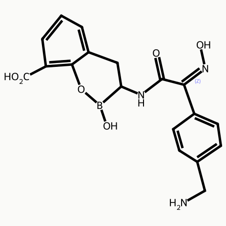 NCc1ccc(/C(=N/O)C(=O)NC2Cc3cccc(C(=O)O)c3OB2O)cc1